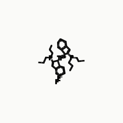 CCCP(CCC)C1=Cc2ccccc2[CH]1[Ti+2][CH]1C(P(CCC)CCC)=Cc2ccccc21.[F-].[F-]